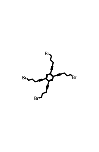 BrCCCC#Cc1cc(C#CCCCBr)c(C#CCCCBr)cc1C#CCCCBr